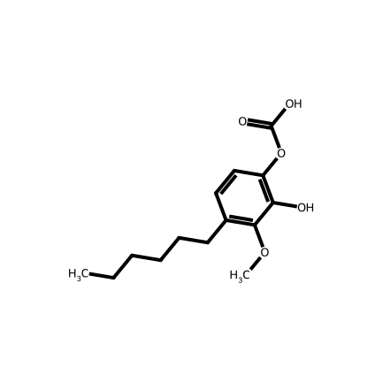 CCCCCCc1ccc(OC(=O)O)c(O)c1OC